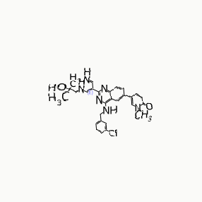 Cn1cc(-c2ccc3nc(/C(C=N)=C/NCC(C)(C)O)nc(NCc4cccc(Cl)c4)c3c2)ccc1=O